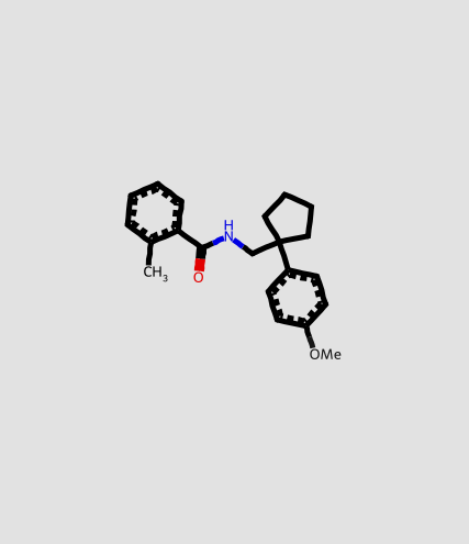 COc1ccc(C2(CNC(=O)c3ccccc3C)CCCC2)cc1